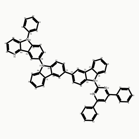 c1ccc(-c2cc(-c3ccccc3)nc(-n3c4ccccc4c4cc(-c5ccc6c(c5)c5ccccc5n6-c5ccc6c(c5)c5ncccc5n6-c5ccccc5)ccc43)n2)cc1